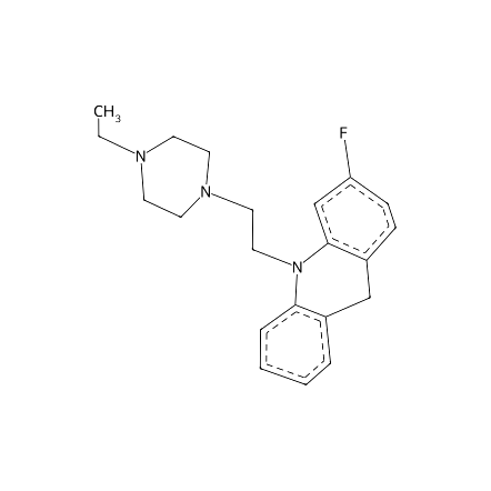 CCN1CCN(CCN2c3ccccc3Cc3ccc(F)cc32)CC1